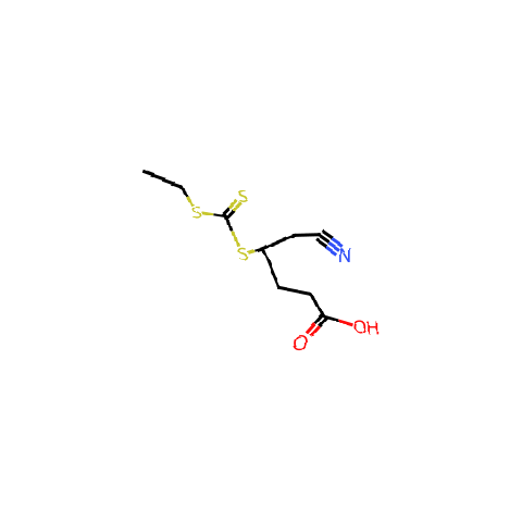 CCSC(=S)SC(CC#N)CCC(=O)O